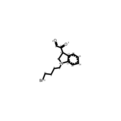 O=CC(=O)C1CN(CCCCBr)c2ccccc21